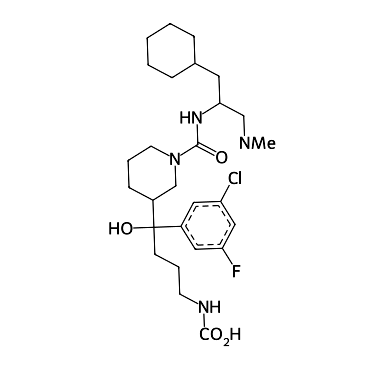 CNCC(CC1CCCCC1)NC(=O)N1CCCC(C(O)(CCCNC(=O)O)c2cc(F)cc(Cl)c2)C1